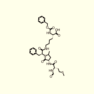 CSCC[C@H](NC=O)C(=O)N[C@H]1CC(C)N([C@@H](Cc2ccccc2)C(=O)NCCCC[C@H](NC(=O)OCc2ccccc2)C(=O)O)C1=O